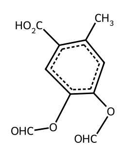 Cc1cc(OC=O)c(OC=O)cc1C(=O)O